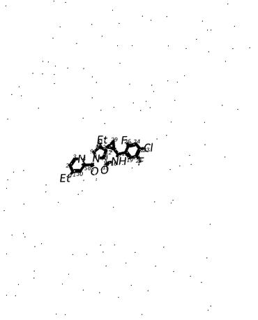 CCc1ccnc(C(=O)N2C[C@H](CC)C[C@@H]2C(=O)NC(c2cc(F)c(Cl)cc2F)C2CC2)c1